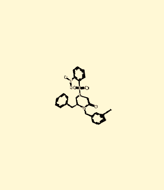 Cc1cccc(CN2C(=O)CN(S(=O)(=O)c3ccccc3[N+](=O)[O-])C[C@@H]2Cc2ccccc2)c1